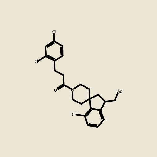 CC(=O)CC1CC2(CCN(C(=O)CCc3ccc(Cl)cc3Cl)CC2)c2c(Cl)cccc21